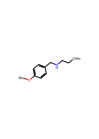 COCCNCc1ccc(OC(C)(C)C)cc1